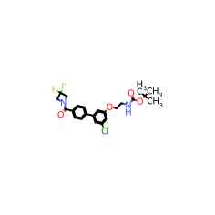 CC(C)(C)OC(=O)NCCOc1cc(Cl)cc(-c2ccc(C(=O)N3CC(F)(F)C3)cc2)c1